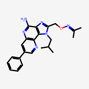 CC(C)=NOCc1nc2c(N)nc3cc(-c4ccccc4)cnc3c2n1CC(C)C